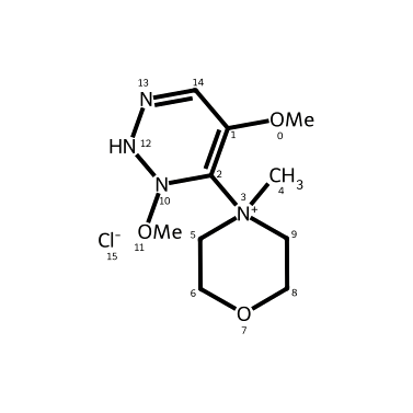 COC1=C([N+]2(C)CCOCC2)N(OC)NN=C1.[Cl-]